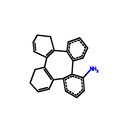 Nc1cccc2c1-c1ccccc1C1=C(C=CCC1)C1=C2C=CCC1